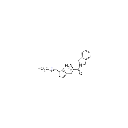 N[C@H](Cc1ccc(/C=C/C(=O)O)s1)C(=O)N1Cc2ccccc2C1